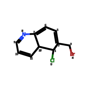 ClC1C(CBr)=CC=C2N=CC=CC21